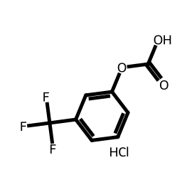 Cl.O=C(O)Oc1cccc(C(F)(F)F)c1